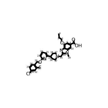 CCCOc1cc(C(=O)O)cc2c1nc(CN1CCC(c3cccc(OCc4ccc(Cl)cc4F)n3)CC1)n2C